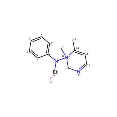 CCN(c1ccccc1)[N+]1(C)CN=CC=C1C.[I-]